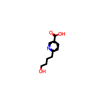 O=C(O)c1ccc(CCCCO)nc1